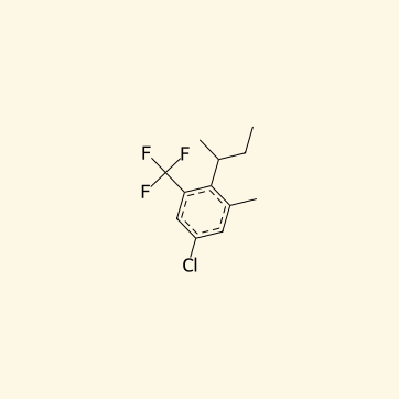 CCC(C)c1c(C)cc(Cl)cc1C(F)(F)F